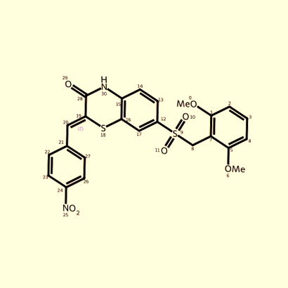 COc1cccc(OC)c1CS(=O)(=O)c1ccc2c(c1)S/C(=C\c1ccc([N+](=O)[O-])cc1)C(=O)N2